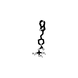 CC(C)(C)OC(=O)N1CCC(CCc2cc3cnccc3o2)CC1